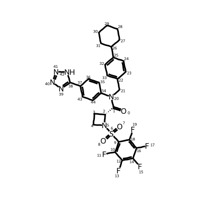 O=C([C@H]1CCN1S(=O)(=O)c1c(F)c(F)c(F)c(F)c1F)N(Cc1ccc(C2CCCCC2)cc1)c1ccc(-c2nnn[nH]2)cc1